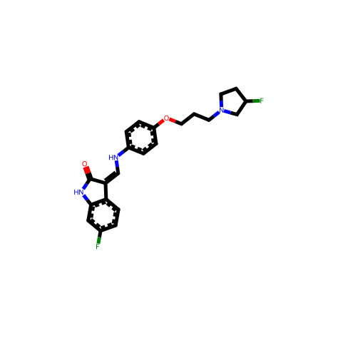 O=C1Nc2cc(F)ccc2C1=CNc1ccc(OCCCN2CCC(F)C2)cc1